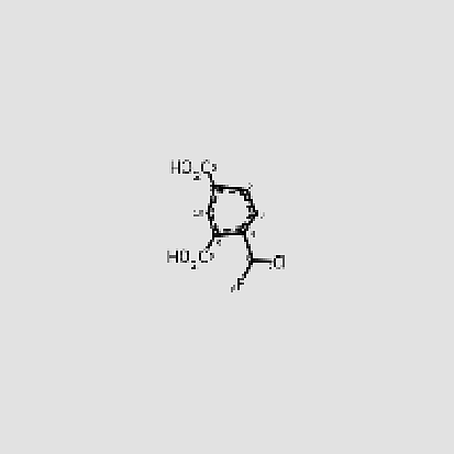 O=C(O)c1ccc(C(F)Cl)c(C(=O)O)c1